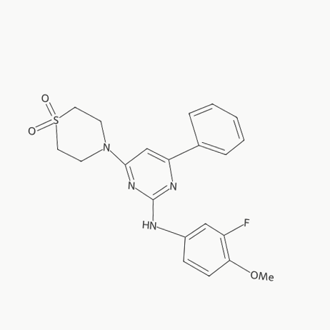 COc1ccc(Nc2nc(-c3ccccc3)cc(N3CCS(=O)(=O)CC3)n2)cc1F